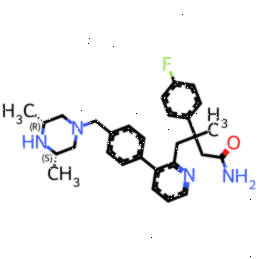 C[C@@H]1CN(Cc2ccc(-c3cccnc3CC(C)(CC(N)=O)c3ccc(F)cc3)cc2)C[C@H](C)N1